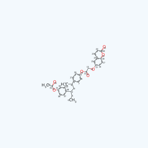 CCC(CC(C)c1ccc(OC(=O)COc2ccc3oc(=O)ccc3c2)cc1)c1ccc(OC(C)=O)cc1